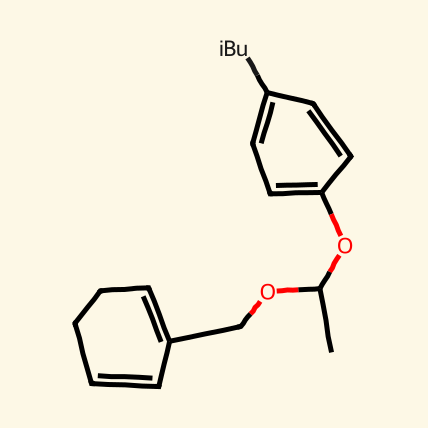 CCC(C)c1ccc(OC(C)OCC2=CCCC=C2)cc1